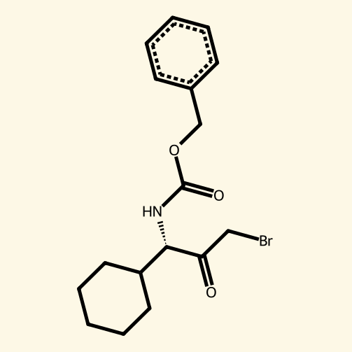 O=C(N[C@H](C(=O)CBr)C1CCCCC1)OCc1ccccc1